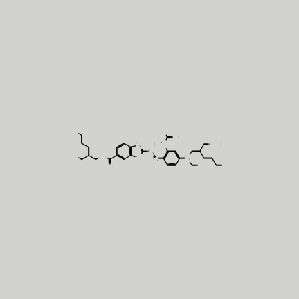 CCCCC(CC)COC(=O)c1ccc2nc(N=Nc3ccc(N(CC)CC(CC)CCCC)cc3NC(C)=O)sc2c1